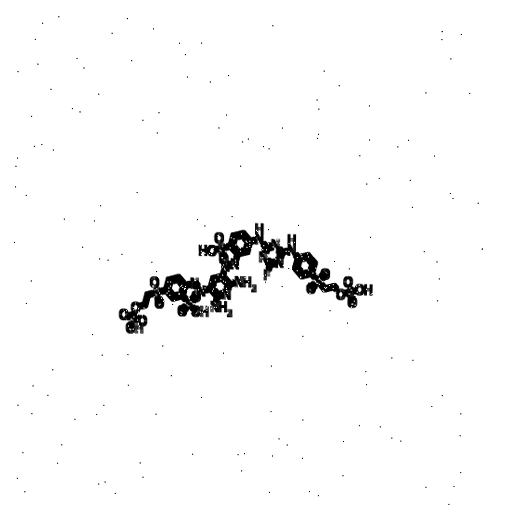 Nc1nc(N)c(/N=N/c2ccc(S(=O)(=O)CCOS(=O)(=O)O)cc2S(=O)(=O)O)cc1/N=N/c1cc(Nc2nc(F)nc(Nc3ccc(S(=O)(=O)CCOS(=O)(=O)O)cc3)n2)ccc1S(=O)(=O)O